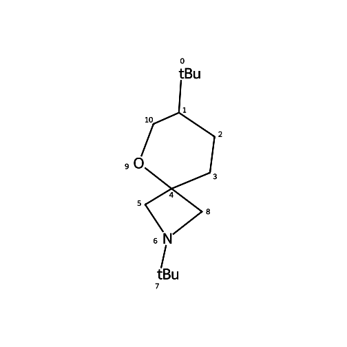 CC(C)(C)C1CCC2(CN(C(C)(C)C)C2)OC1